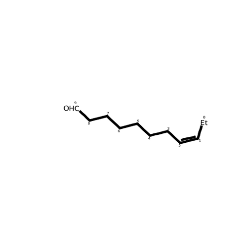 CC/C=C\CCCCCCC=O